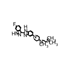 CN(C)CCN(C)C1CCN(c2ccc3[nH]c(-c4n[nH]c5cc(F)ccc45)nc3c2)CC1